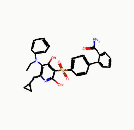 CCN(c1ccccc1)c1c(CC2CC2)nc(O)c(S(=O)(=O)c2ccc(-c3ccccc3C(N)=O)cc2)c1O